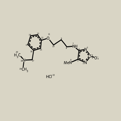 CNc1n[s+]([O-])nc1NCCCOc1cccc(CN(C)C)c1.Cl